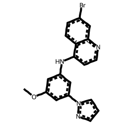 COc1cc(Nc2ccnc3cc(Br)ccc23)cc(-n2cccn2)c1